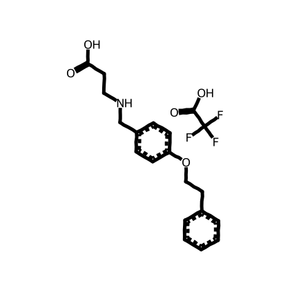 O=C(O)C(F)(F)F.O=C(O)CCNCc1ccc(OCCc2ccccc2)cc1